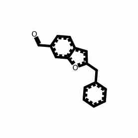 O=Cc1ccc2cc(Cc3ccccc3)oc2c1